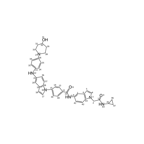 O=C(Cn1ccc2cc(NC(=O)c3ccc(-n4ccc5cc(Nc6ccc(N7CCC(O)CC7)cc6)ccc54)cc3)ccc21)NC1CC1